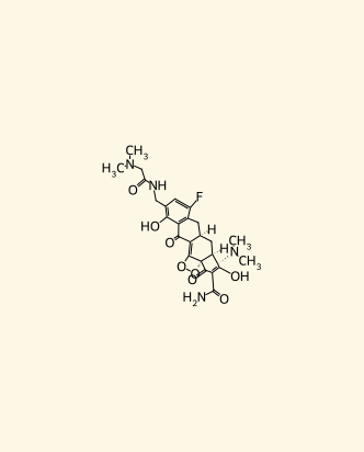 CN(C)CC(=O)NCc1cc(F)c2c(c1O)C(=O)C1=C3OO[C@]34C(=O)C(C(N)=O)=C(O)[C@@H](N(C)C)[C@@H]4C[C@@H]1C2